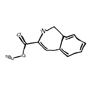 CCCCOC(=O)C1=Cc2ccccc2C[N]1